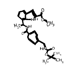 CCOC(=O)c1cc2cccc(C(C)NC(=O)c3ccc(CNC(=O)OC(C)(C)C)cc3)c2[nH]1